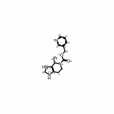 CC(C)C1C2=C(CCN1C(=O)OCc1cccnc1)NCN2